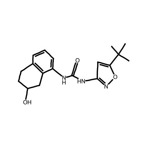 CC(C)(C)c1cc(NC(=O)Nc2cccc3c2CC(O)CC3)no1